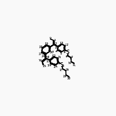 C/C=C(/c1ccc(SCCCC)cc1)c1cccc(/C(=C/C)c2ccc(SCCCC)cc2)c1